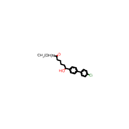 CN(O)C(=O)CCCCC(O)c1ccc(-c2ccc(Cl)cc2)cc1